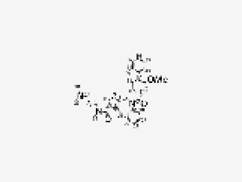 COc1cc(C(=O)N2Cc3ccc(C(=O)N(C)CCCN(C)C)n3Cc3ccccc32)ccc1-c1ccccc1C